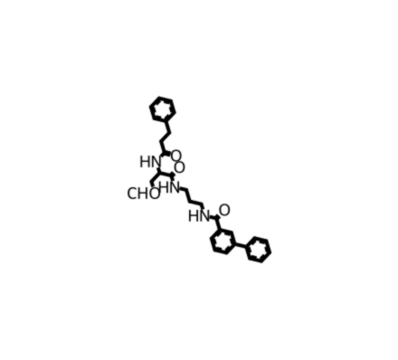 O=CCC(NC(=O)CCc1ccccc1)C(=O)NCCCNC(=O)c1cccc(-c2ccccc2)c1